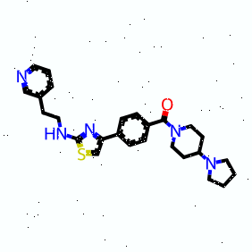 O=C(c1ccc(-c2csc(NCCc3cccnc3)n2)cc1)N1CCC(N2CCCC2)CC1